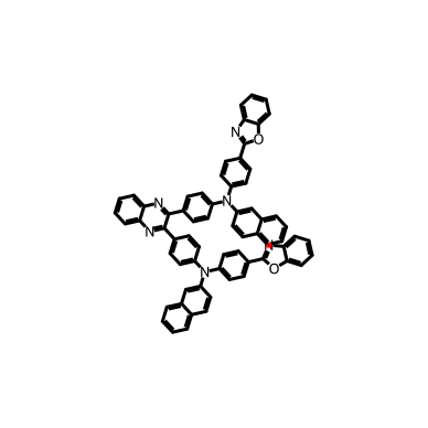 c1ccc2cc(N(c3ccc(-c4nc5ccccc5o4)cc3)c3ccc(-c4nc5ccccc5nc4-c4ccc(N(c5ccc(-c6nc7ccccc7o6)cc5)c5ccc6ccccc6c5)cc4)cc3)ccc2c1